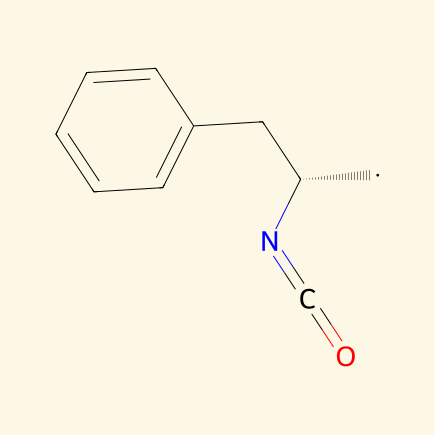 [CH2][C@@H](Cc1ccccc1)N=C=O